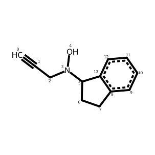 C#CCN(O)C1CCc2ccccc21